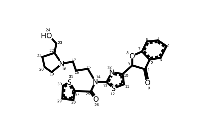 O=C1c2ccccc2OC1c1csc(N(CCCN2CCCC2CO)C(=O)c2cccs2)n1